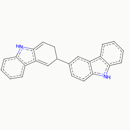 C1=c2[nH]c3ccccc3c2=CC(c2ccc3[nH]c4ccccc4c3c2)C1